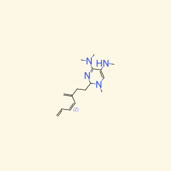 C=C/C=C\C(=C)CCC1N=C(N(C)C)C(NC)=CN1C